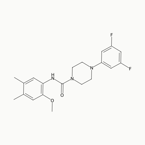 COc1cc(C)c(C)cc1NC(=O)N1CCN(c2cc(F)cc(F)c2)CC1